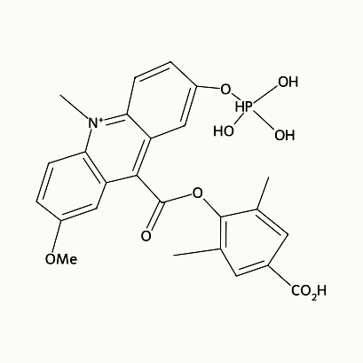 COc1ccc2c(c1)c(C(=O)Oc1c(C)cc(C(=O)O)cc1C)c1cc(O[PH](O)(O)O)ccc1[n+]2C